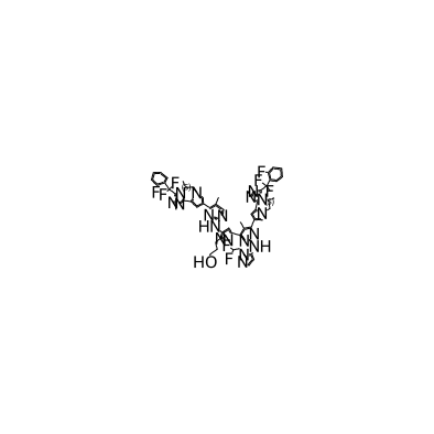 Cc1cnc(Nc2cc(-c3nc(Nc4ccnn4CC(F)F)nc(-c4cc5n(c4)C[C@H](C)n4c-5nnc4C(F)(F)c4ccccc4F)c3C)nn2CCCO)nc1-c1cc2n(c1)C[C@H](C)n1c-2nnc1C(F)(F)c1ccccc1F